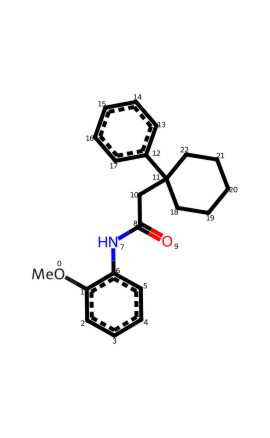 COc1ccccc1NC(=O)CC1(c2ccccc2)CCCCC1